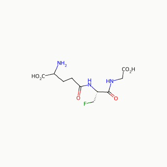 NC(CCC(=O)N[C@@H](CF)C(=O)NCC(=O)O)C(=O)O